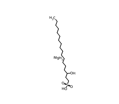 CCCCCCCCCCCCCCCC(O)CCS(=O)(=O)O.[MgH2]